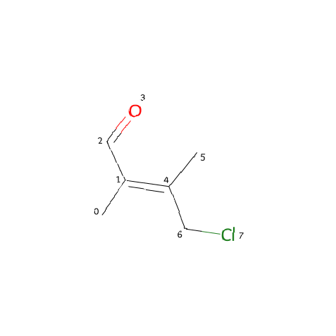 CC(C=O)=C(C)CCl